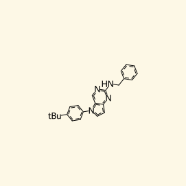 CC(C)(C)c1ccc(-n2ccc3nc(NCc4ccccc4)ncc32)cc1